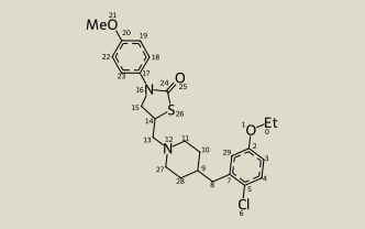 CCOc1ccc(Cl)c(CC2CCN(CC3CN(c4ccc(OC)cc4)C(=O)S3)CC2)c1